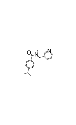 CC(C)c1ccc(C(=O)N(C)Cc2cccnc2)cc1